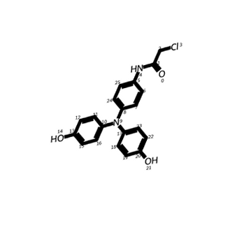 O=C(CCl)Nc1ccc(N(c2ccc(O)cc2)c2ccc(O)cc2)cc1